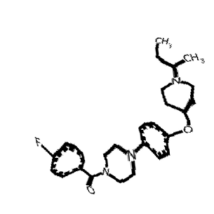 CCC(C)N1CCC(Oc2ccc(N3CCN(C(=O)c4ccc(F)cc4)CC3)cc2)CC1